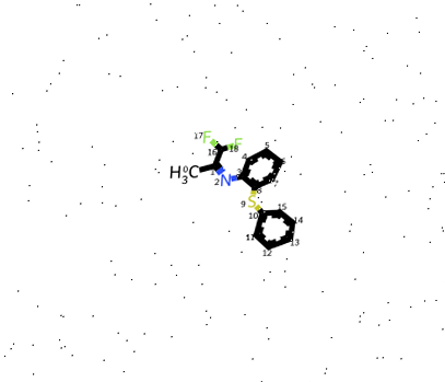 CC(=Nc1ccccc1Sc1ccccc1)C(F)F